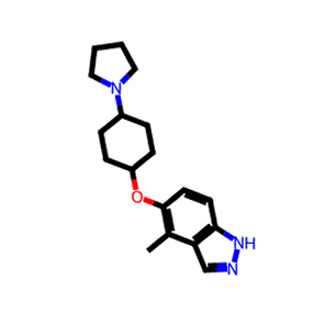 Cc1c(OC2CCC(N3CCCC3)CC2)ccc2[nH]ncc12